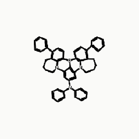 c1ccc(-c2ccc3c4c2CCCCN4c2cc(N(c4ccccc4)c4ccccc4)cc4c2B3c2ccc(-c3ccccc3)c3c2N4CCCC3)cc1